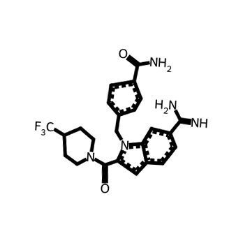 N=C(N)c1ccc2cc(C(=O)N3CCC(C(F)(F)F)CC3)n(Cc3ccc(C(N)=O)cc3)c2c1